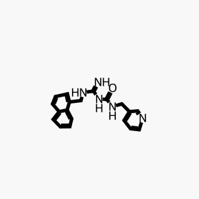 N=C(NCc1cccc2ccccc12)NC(=O)NCc1cccnc1